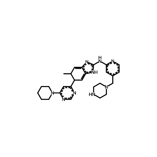 CC1C=c2nc(Nc3cc(CN4CCNCC4)ccn3)[nH]c2=CC1c1cc(N2CCCCC2)ncn1